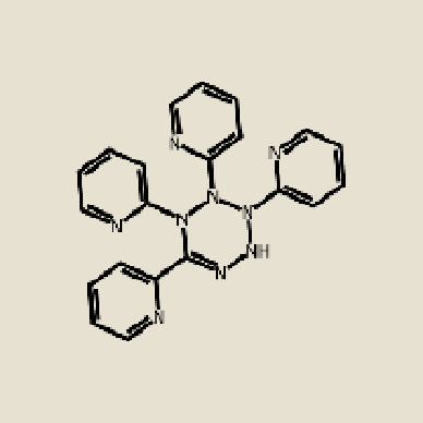 c1ccc(-c2n[nH]n(-c3ccccn3)n(-c3ccccn3)n2-c2ccccn2)nc1